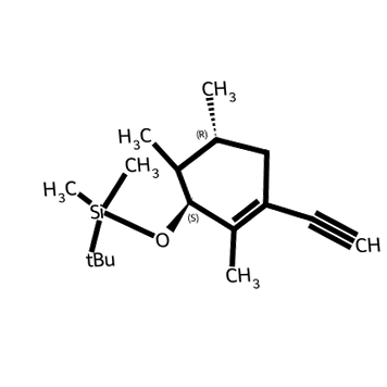 C#CC1=C(C)[C@@H](O[Si](C)(C)C(C)(C)C)C(C)[C@H](C)C1